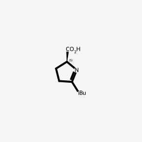 CCC(C)C1=N[C@H](C(=O)O)CC1